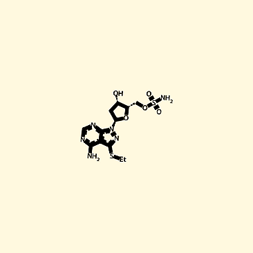 CCSc1nn([C@H]2C[C@H](O)[C@H](COS(N)(=O)=O)O2)c2ncnc(N)c12